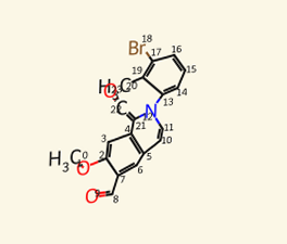 COc1cc2c(cc1C=O)C=CN(c1cccc(Br)c1C)C2=C=O